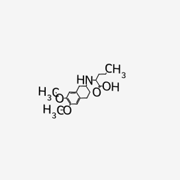 CCCC(NC1CCc2cc(OC)c(OC)cc2C1)C(=O)O